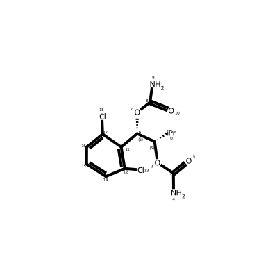 CC(C)[C@H](OC(N)=O)[C@@H](OC(N)=O)c1c(Cl)cccc1Cl